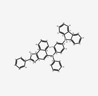 c1ccc(-c2nc3cc(N(c4ccccc4)c4ccc(-n5c6ccccc6c6ccccc65)cc4)c4ccccc4c3o2)cc1